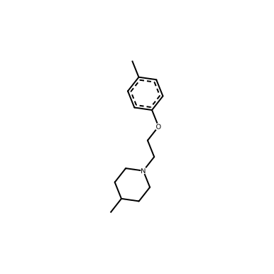 Cc1ccc(OCCN2CCC(C)CC2)cc1